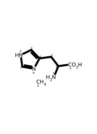 C.NC(Cc1c[nH]cn1)C(=O)O